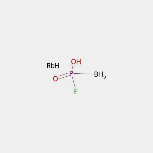 BP(=O)(O)F.[RbH]